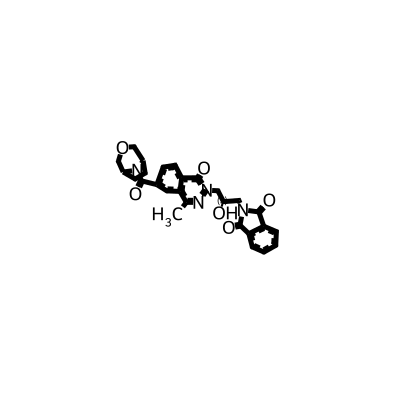 Cc1nn(C[C@@H](O)CN2C(=O)c3ccccc3C2=O)c(=O)c2ccc(C(=O)N3C4CCC3COC4)cc12